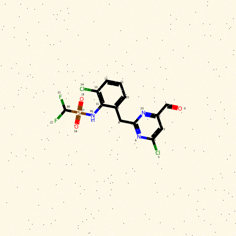 O=Cc1cc(Cl)nc(Cc2cccc(Cl)c2NS(=O)(=O)C(F)F)n1